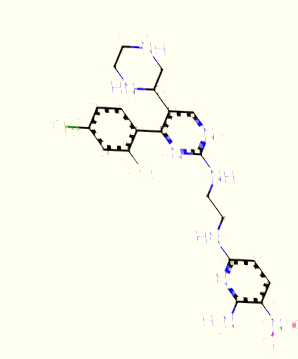 Nc1nc(NCCNc2ncc(C3CNCCN3)c(-c3ccc(Cl)cc3Cl)n2)ccc1[N+](=O)[O-]